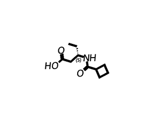 CC[C@@H](CC(=O)O)NC(=O)C1CCC1